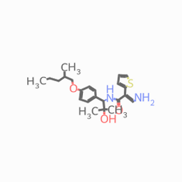 CCCC(C)COc1ccc([C@@H](NC(=O)C(=CN)c2cccs2)C(C)(C)O)cc1